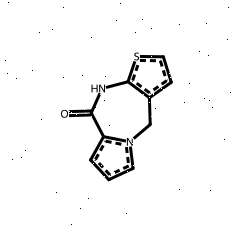 O=C1Nc2sccc2Cn2cccc21